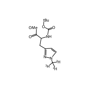 [2H]C([2H])([2H])n1ccc(CC(NC(=O)OC(C)(C)C)C(=O)OC)n1